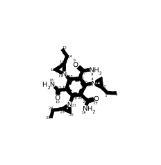 CCC1CN1c1c(C(N)=O)c(N2CC2CC)c(C(N)=O)c(N2CC2CC)c1C(N)=O